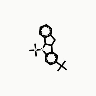 CC(C)(C)c1ccc2c(c1)C1Cc3ccccc3C1N2S(C)(C)C